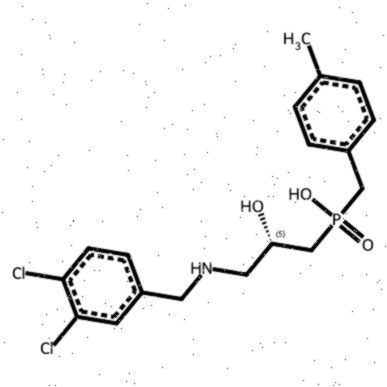 Cc1ccc(CP(=O)(O)C[C@@H](O)CNCc2ccc(Cl)c(Cl)c2)cc1